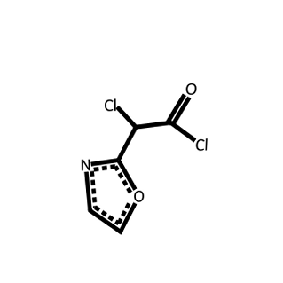 O=C(Cl)C(Cl)c1ncco1